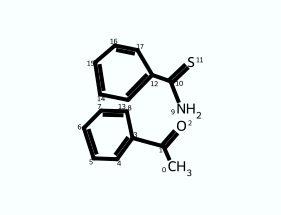 CC(=O)c1ccccc1.NC(=S)c1ccccc1